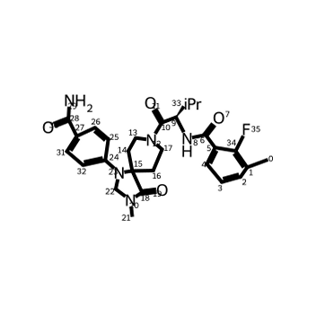 Cc1cccc(C(=O)N[C@@H](C(=O)N2CCC3(CC2)C(=O)N(C)CN3c2ccc(C(N)=O)cc2)C(C)C)c1F